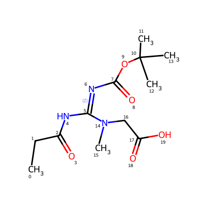 CCC(=O)N/C(=N/C(=O)OC(C)(C)C)N(C)CC(=O)O